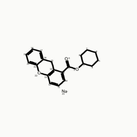 O=C(OC1CCCCC1)c1cccc2c1Cc1ccccc1O2.[Na]